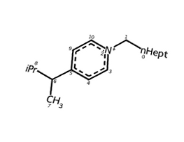 CCCCCCCC[n+]1ccc(C(C)C(C)C)cc1